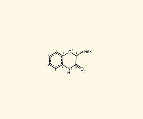 CCCCCCC1Oc2ccccc2NC1=O